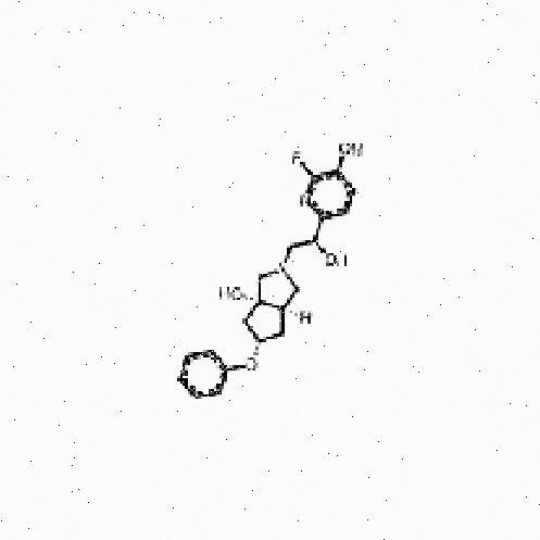 Oc1ccc([C@@H](O)CN2C[C@H]3C[C@H](Oc4ccccc4)C[C@@]3(O)C2)nc1F